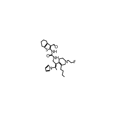 CCCCC1=C(/C(CNC(=O)Nc2sc3c(c2C=O)CCCC3)=C(\C)n2cccc2)CCN(CCF)C1